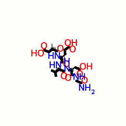 CC(C)[C@H](NC(=O)[C@H](CCC(=O)O)NC(=O)[C@@H](C)CC(=O)O)C(=O)N[C@@H](CC(=O)O)C(=O)NCC(N)=O